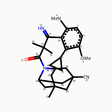 CNc1ccc(OC)c(C2CC2)c1C(=N)C(C)(C)C(=O)N1C2CC3(C)CC1CC(C#N)(C2)C3